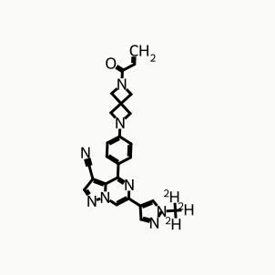 [2H]C([2H])([2H])n1cc(-c2cn3ncc(C#N)c3c(-c3ccc(N4CC5(CN(C(=O)C=C)C5)C4)cc3)n2)cn1